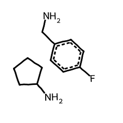 NC1CCCC1.NCc1ccc(F)cc1